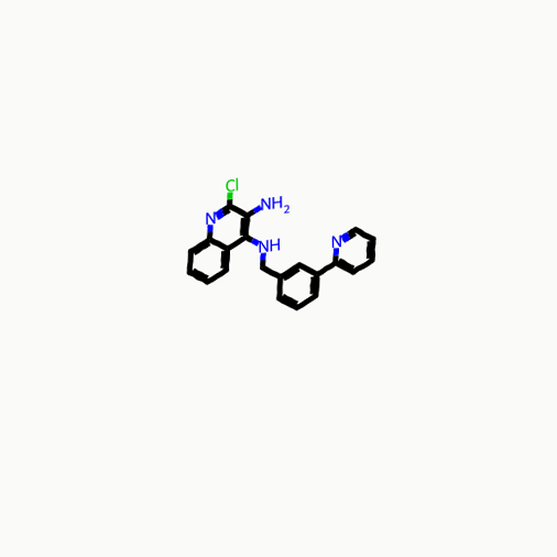 Nc1c(Cl)nc2ccccc2c1NCc1cccc(-c2ccccn2)c1